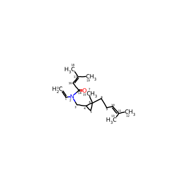 C=CN(CC1CC1(C)CCC=C(C)C)C(=O)C=C(C)C